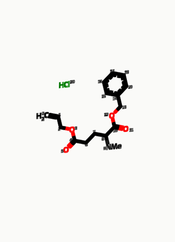 C=CCOC(=O)CCC(NC)C(=O)OCc1ccccc1.Cl